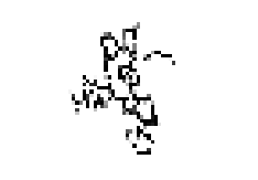 C=C(Nc1cncc(-c2cnc3[nH]nc(-c4cc5c(N6CCCCC6)cccc5[nH]4)c3c2)c1)c1ccccc1